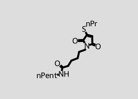 CCCCCNC(=O)CCCCCN1C(=O)C=C(SCCC)C1=O